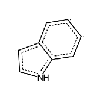 [c]1[c]cc2[nH]c[c]c2c1